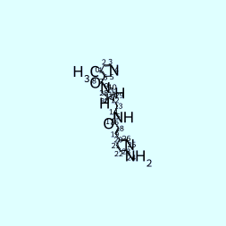 Cc1ccncc1C(=O)N1C[C@@H]2[C@@H](CCNC(=O)/C=C/c3ccc(N)nc3)[C@@H]2C1